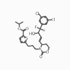 CC(C)OC(=O)c1ccc(CCCN2C(=O)OCCC2/C=C/C(O)C(F)(F)c2cc(Cl)cc(Cl)c2)s1